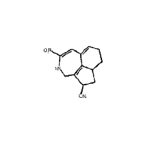 N#CC1CC2CCC=C3C=C([N+](=O)[O-])NCC1=C32